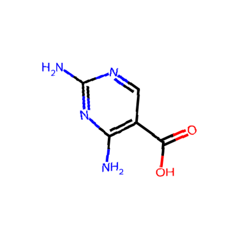 Nc1ncc(C(=O)O)c(N)n1